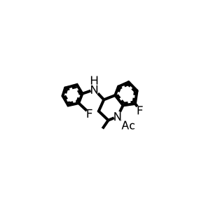 CC(=O)N1c2c(F)cccc2C(Nc2ccccc2F)CC1C